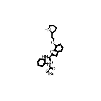 CC(C)(C)OC(=O)Nc1ccccc1NC(=O)c1cc2cccc(OCCC3CCCCN3)c2o1